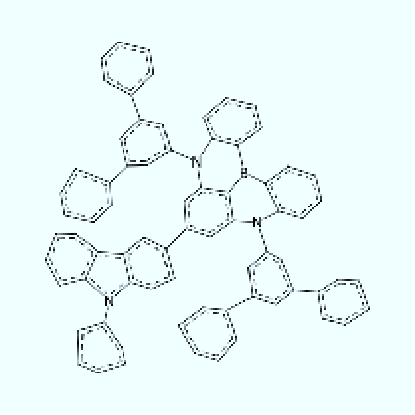 c1ccc(-c2cc(-c3ccccc3)cc(N3c4ccccc4B4c5ccccc5N(c5cc(-c6ccccc6)cc(-c6ccccc6)c5)c5cc(-c6ccc7c(c6)c6ccccc6n7-c6ccccc6)cc3c54)c2)cc1